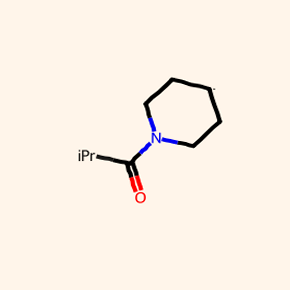 CC(C)C(=O)N1CC[CH]CC1